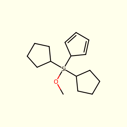 CO[Si](C1C=CC=C1)(C1CCCC1)C1CCCC1